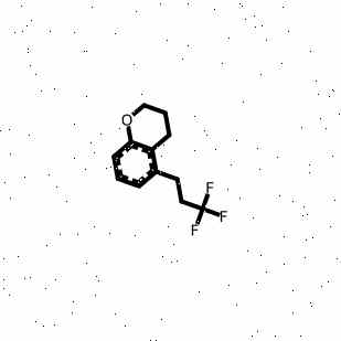 FC(F)(F)CCc1cccc2c1CCCO2